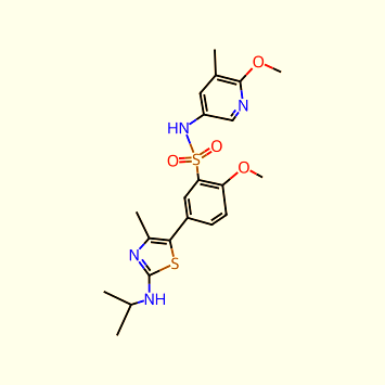 COc1ccc(-c2sc(NC(C)C)nc2C)cc1S(=O)(=O)Nc1cnc(OC)c(C)c1